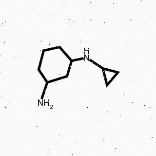 NC1CCCC(NC2CC2)C1